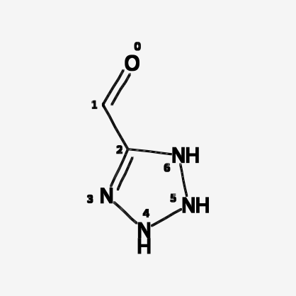 O=CC1=NNNN1